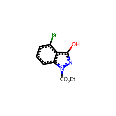 CCOC(=O)n1nc(O)c2c(Br)cccc21